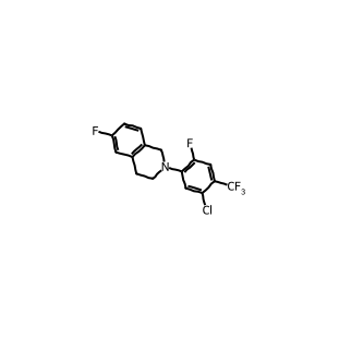 Fc1ccc2c(c1)CCN(c1cc(Cl)c(C(F)(F)F)cc1F)C2